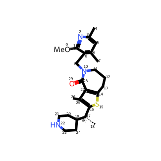 COc1nc(C)cc(C)c1CN1CCCc2sc([C@H](C)C3CCNCC3)c(C)c2C1=O